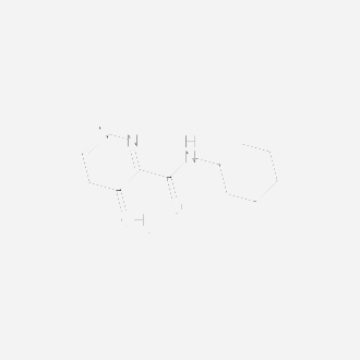 C=C1CC=NN=C1C(=O)NC1CCCCC1